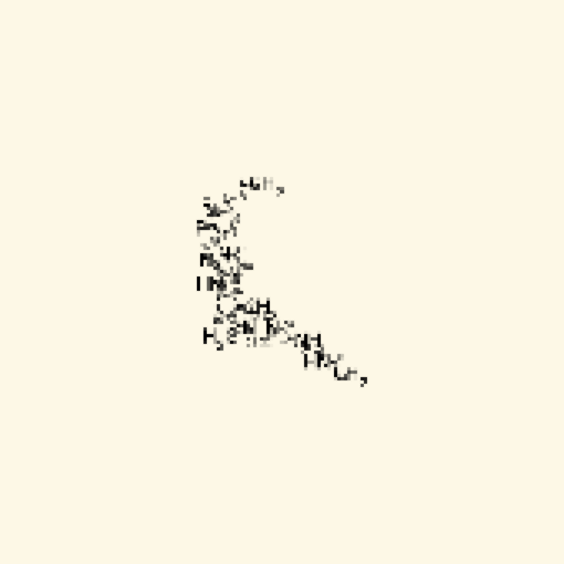 C=CCCc1ccc(C2CN=C3C(Nc4ccc(C(=C)N5CCN(CCNCCNC=C)CC5)c(C)c4)=NC=CN32)c(F)c1F